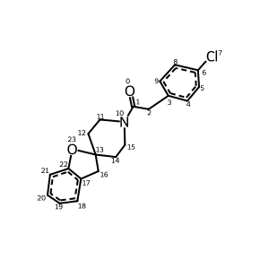 O=C(Cc1ccc(Cl)cc1)N1CCC2(CC1)Cc1ccccc1O2